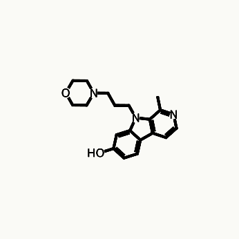 Cc1nccc2c3ccc(O)cc3n(CCCN3CCOCC3)c12